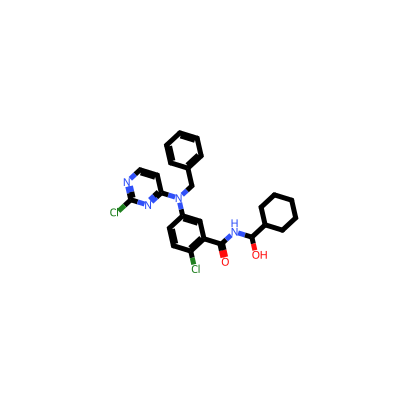 O=C(NC(O)C1CCCCC1)c1cc(N(Cc2ccccc2)c2ccnc(Cl)n2)ccc1Cl